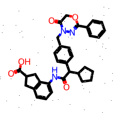 O=C(O)C1Cc2cccc(NC(=O)C(c3ccc(CN4N=C(c5ccccc5)OCC4=O)cc3)C3CCCC3)c2C1